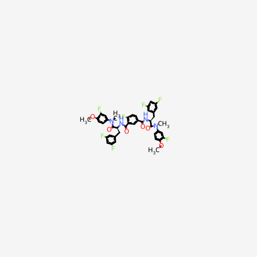 COc1ccc(N(C)C(=O)[C@H](Cc2cc(F)cc(F)c2)NC(=O)c2ccc(F)c(C(=O)N[C@@H](Cc3cc(F)cc(F)c3)C(=O)N(C)c3ccc(OC)c(F)c3)c2)cc1F